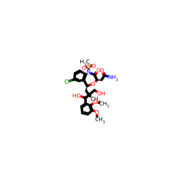 COc1cccc(C(O)C(C)(CO)C[C@@H]2O[C@H](CC(N)=O)C(=O)N(S(C)(=O)=O)c3ccc(Cl)cc32)c1OC